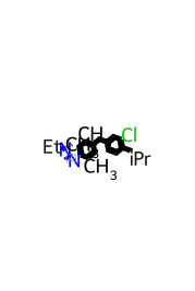 CCN(C)/C=N\c1cc(C)c(Cc2ccc(CC(C)C)c(Cl)c2)cc1C